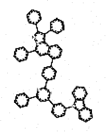 c1ccc(-c2cc(-c3cccc(-n4c5ccccc5c5ccccc54)c3)nc(-c3ccc(-c4cccc5c4cc(-c4ccccc4)n4nc(-c6ccccc6)c(-c6ccccc6)c54)cc3)n2)cc1